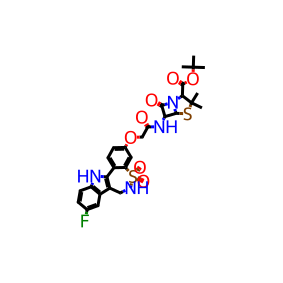 CC(C)(C)OC(=O)C1N2C(=O)C(NC(=O)COc3ccc4c(c3)S(=O)(=O)NCc3c-4[nH]c4ccc(F)cc34)C2SC1(C)C